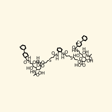 CC(=O)N[C@@H]1C(O)C[C@](OCCCSCCC(=O)Nc2ccccc2NC(=O)CCSCCCO[C@]2(C(=O)O)C[C@H](O)[C@@H](NC(C)=O)C([C@H](O)[C@H](O)CNC(=O)c3ccc(-c4ccccc4)cc3)O2)(C(=O)O)O[C@H]1[C@H](O)[C@H](O)CNC(=O)c1ccc(-c2ccccc2)cc1